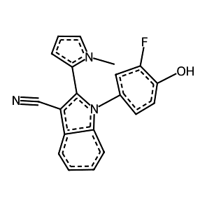 Cn1cccc1-c1c(C#N)c2ccccc2n1-c1ccc(O)c(F)c1